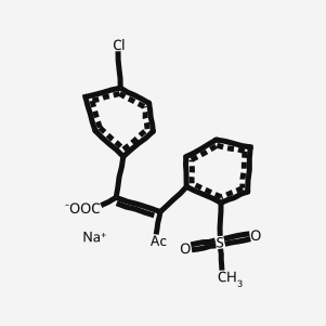 CC(=O)C(=C(C(=O)[O-])c1ccc(Cl)cc1)c1ccccc1S(C)(=O)=O.[Na+]